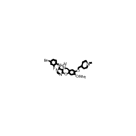 COc1cc2c(cc1OCC1CCN(C)CC1)CNc1c(Nc3ccc(Br)cc3F)ncnc1O2